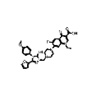 CCn1cc(C(=O)O)c(=O)c2cc(F)c(N3CCN(CN4N=C(c5ccco5)N(c5ccc(OC)cc5)C4S)CC3)cc21